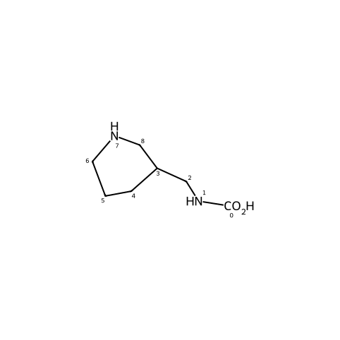 O=C(O)NCC1CCCNC1